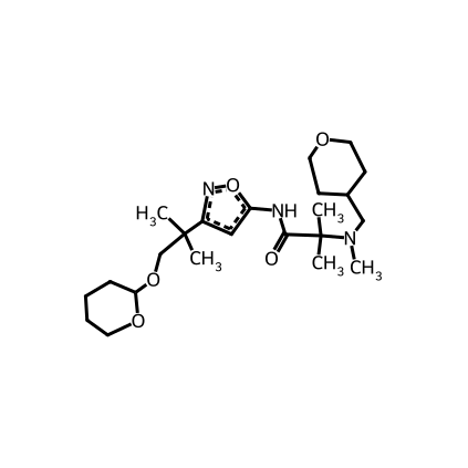 CN(CC1CCOCC1)C(C)(C)C(=O)Nc1cc(C(C)(C)COC2CCCCO2)no1